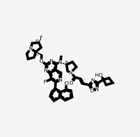 CN(c1nc(OC[C@@]23CCCN2C[C@H](F)C3)nc2c(F)c(-c3cccc4cccc(Cl)c34)ncc12)[C@@H]1CCN(C(=O)/C=C/c2nc(C3(O)CCC3)no2)C1